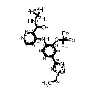 [2H]C([2H])([2H])NC(=O)c1nnccc1Nc1ccc(-c2nnn(CC)n2)cc1OC(F)(F)F